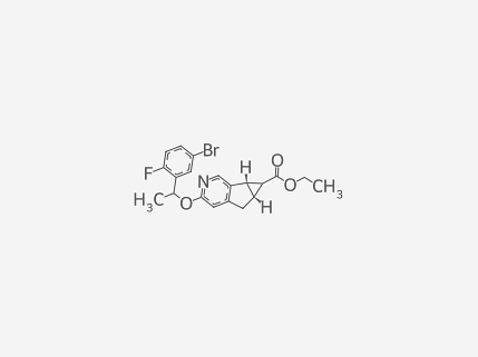 CCOC(=O)C1[C@H]2c3cnc(OC(C)c4cc(Br)ccc4F)cc3C[C@@H]12